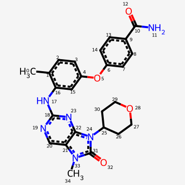 Cc1ccc(Oc2ccc(C(N)=O)cc2)cc1Nc1ncc2c(n1)n(C1CCOCC1)c(=O)n2C